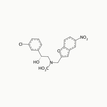 O=C(O)N(Cc1cc2cc([N+](=O)[O-])ccc2o1)C[C@H](O)c1cccc(Cl)c1